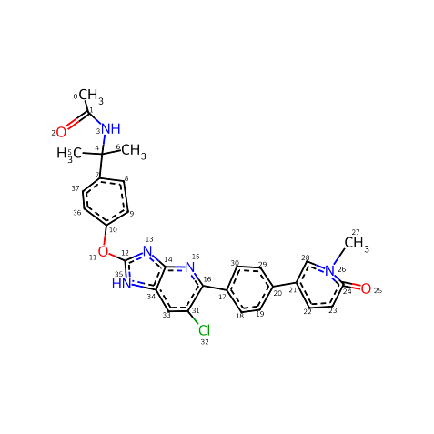 CC(=O)NC(C)(C)c1ccc(Oc2nc3nc(-c4ccc(-c5ccc(=O)n(C)c5)cc4)c(Cl)cc3[nH]2)cc1